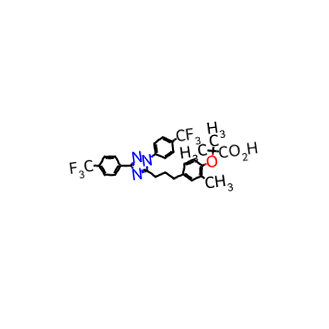 Cc1cc(CCCc2nc(-c3ccc(C(F)(F)F)cc3)nn2-c2ccc(C(F)(F)F)cc2)ccc1OC(C)(C)C(=O)O